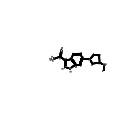 COC1CCN(c2ccc3c(C(N)=O)noc3c2)C1